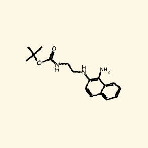 CC(C)(C)OC(=O)NCCNc1ccc2ccccc2c1N